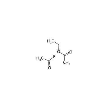 CC(=O)F.CCOC(C)=O